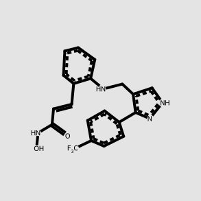 O=C(/C=C/c1ccccc1NCc1c[nH]nc1-c1ccc(C(F)(F)F)cc1)NO